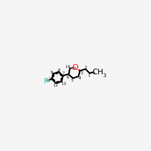 CCCC1CCC(c2ccc(F)cc2)CO1